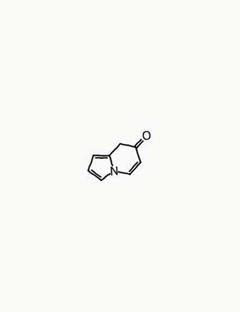 O=C1C=Cn2cccc2C1